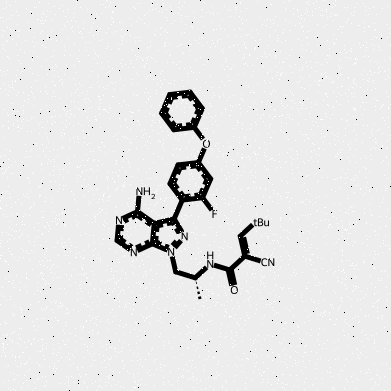 C[C@H](Cn1nc(-c2ccc(Oc3ccccc3)cc2F)c2c(N)ncnc21)NC(=O)C(C#N)=CC(C)(C)C